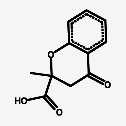 CC1(C(=O)O)CC(=O)c2ccccc2O1